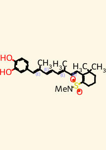 CNS(=O)(=O)C1=C(/C=C/C(C)=C/C=C/C(C)=C/c2ccc(O)c(O)c2)C(C)(C)CCC1